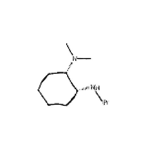 CC(C)N[C@@H]1CCCC[C@@H]1N(C)C